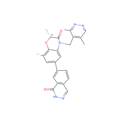 Cc1cnnc(C)c1CN1C(=O)[C@@H](C)Oc2c(F)cc(-c3ccc4cn[nH]c(=O)c4c3)cc21